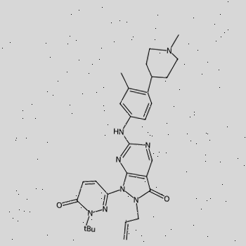 C=CCn1c(=O)c2cnc(Nc3ccc(C4CCN(C)CC4)c(C)c3)nc2n1-c1ccc(=O)n(C(C)(C)C)n1